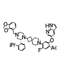 CC(=O)c1cc(F)c(N2CCC3(CC2)CC(N2CCN(Cc4cccc5c4OCO5)C[C@H]2c2ccccc2C(C)C)C3)cc1Oc1cnc2[nH]ccc2c1